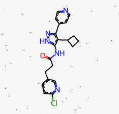 O=C(CCc1ccc(Cl)nc1)Nc1[nH]nc(-c2ccncc2)c1C1CCC1